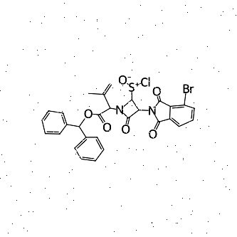 C=C(C)C(C(=O)OC(c1ccccc1)c1ccccc1)N1C(=O)C(N2C(=O)c3cccc(Br)c3C2=O)C1[S+]([O-])Cl